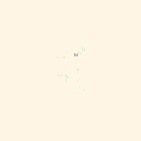 CC(C)(C)[Si](C)(C)O[C@@H](CN=[N+]=[N-])c1ccc(OCc2ccccc2)c(NC=O)c1